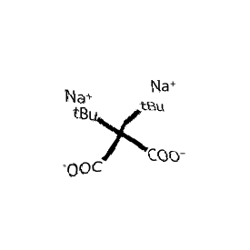 CC(C)(C)C(C(=O)[O-])(C(=O)[O-])C(C)(C)C.[Na+].[Na+]